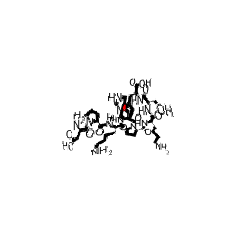 NCCCC[C@H](NC(=O)[C@@H]1CCCN1C(=O)[C@H](Cc1c[nH]cn1)NC(=O)[C@H](CCCCN)NC(=O)[C@@H]1CCCN1C(=O)[C@@H](N)CC(=O)O)C(=O)N[C@@H](CO)C(=O)N[C@@H](Cc1ccccc1)C(=O)O